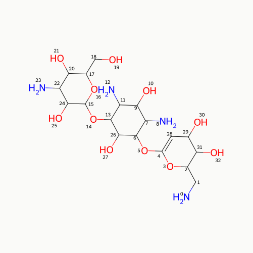 NCC1OC(OC2C(N)C(O)C(N)C(OC3OC(CO)C(O)C(N)C3O)C2O)=CC(O)C1O